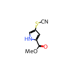 COC(=O)c1cc(SC#N)c[nH]1